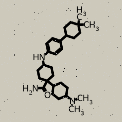 CN(C)C1CCC(C2(C(N)=O)CCC(Nc3ccc(C4CCC(C)(C)CC4)cc3)CC2)CC1